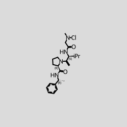 C=C([C@@H](NC(=O)CN(C)Cl)C(C)C)N1CCC[C@@H]1C(=O)N[C@H](C)c1ccccc1